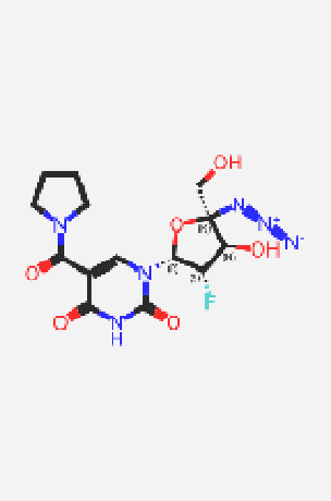 [N-]=[N+]=N[C@]1(CO)O[C@@H](n2cc(C(=O)N3CCCC3)c(=O)[nH]c2=O)[C@@H](F)[C@@H]1O